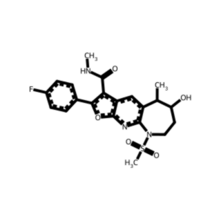 CNC(=O)c1c(-c2ccc(F)cc2)oc2nc3c(cc12)C(C)C(O)CCN3S(C)(=O)=O